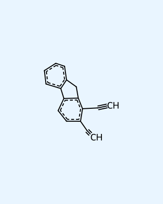 C#Cc1ccc2c(c1C#C)Cc1ccccc1-2